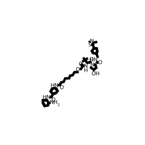 Cc1ncsc1-c1ccc(CNC(=O)[C@@H]2C[C@@H](O)CN2C(=O)C(NC(=O)COCCCCCCCCC(=O)Nc2ccc(C(=O)Nc3ccccc3N)cc2)C(C)(C)C)cc1